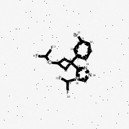 FC(F)OC1CC(c2cccc(Br)c2)(c2nncn2C(F)F)C1